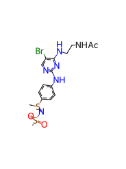 CC(=O)NCCNc1nc(Nc2ccc(S(C)=NS(C)(=O)=O)cc2)ncc1Br